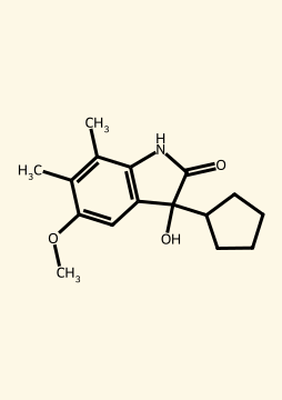 COc1cc2c(c(C)c1C)NC(=O)C2(O)C1CCCC1